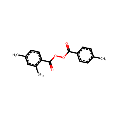 Cc1ccc(C(=O)OOC(=O)c2ccc(C)cc2[SiH3])cc1